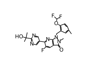 Cc1ccc(OC(F)F)c(Cn2c3nc(-c4cnc(C(C)(C)O)nc4)c(F)cc3c(=O)n2C)c1